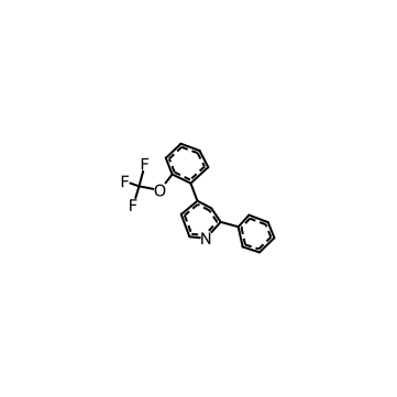 FC(F)(F)Oc1ccccc1-c1ccnc(-c2ccccc2)c1